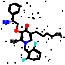 CCCCCc1cn(Cc2c(F)cccc2F)c(C)c(OC[C@H](N)c2ccccc2)c1=O